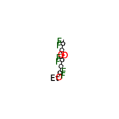 CCOc1ccc(C2CCC(c3ccc(C(=O)OC4CCC(c5ccc(C)c(F)c5F)CC4)c(F)c3F)CC2)c(F)c1F